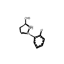 O=CC1CCN(c2ccccc2Cl)N1